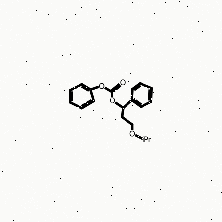 CC(C)OCCC(OC(=O)Oc1ccccc1)c1ccccc1